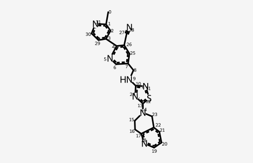 Cc1cc(-c2ncc(CNc3nsc(N4CCc5ncccc5C4)n3)cc2C#N)ccn1